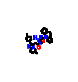 Cc1ccc(-c2nc3ccc(C)cn3c2CC(=O)N(C)C)cc1.NC(=O)N1c2ccccc2C=Cc2ccccc21